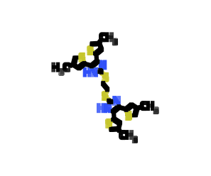 Cc1csc(-c2nc(SCCSc3nc(-c4cc(C)cs4)c(-c4cc(C)cs4)[nH]3)[nH]c2-c2cc(C)cs2)c1